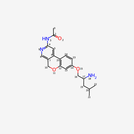 CC(=O)Nc1cc2c(cn1)COc1cc(OCC(N)CC(C)C)ccc1-2